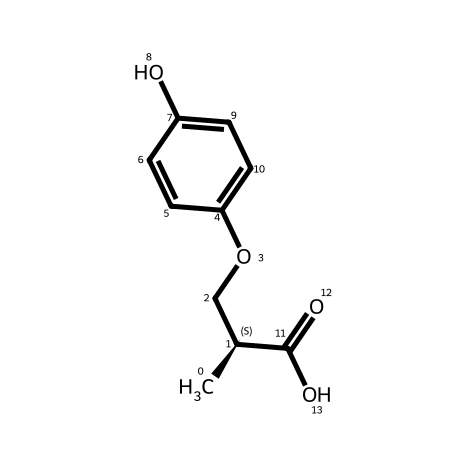 C[C@@H](COc1ccc(O)cc1)C(=O)O